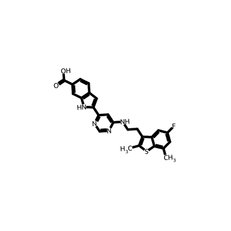 Cc1sc2c(C)cc(F)cc2c1CCNc1cc(-c2cc3ccc(C(=O)O)cc3[nH]2)ncn1